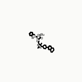 Cc1nc(CC[C@H](NC(=O)OCc2ccccc2Br)C(=O)OC(C)(C)C)c(C)c(C2CCC(c3ccc4c(c3)CCCC4)CC2)n1